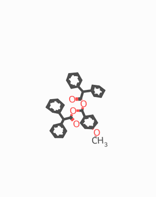 COc1ccc(C(OC(=O)C(c2ccccc2)c2ccccc2)OC(=O)C(c2ccccc2)c2ccccc2)cc1